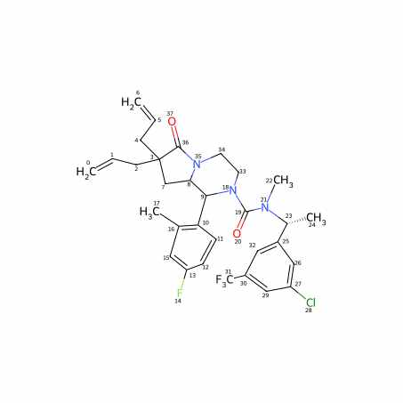 C=CCC1(CC=C)CC2C(c3ccc(F)cc3C)N(C(=O)N(C)[C@H](C)c3cc(Cl)cc(C(F)(F)F)c3)CCN2C1=O